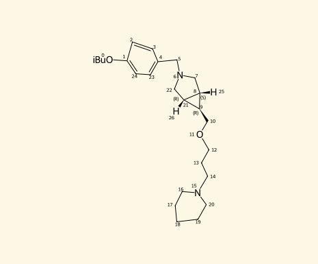 CC(C)COc1ccc(CN2C[C@@H]3[C@@H](COCCCN4CCCCC4)[C@@H]3C2)cc1